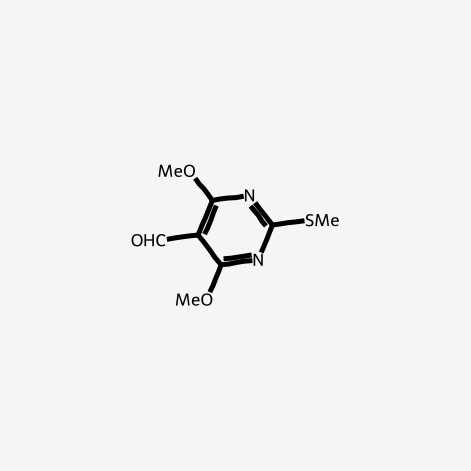 COc1nc(SC)nc(OC)c1C=O